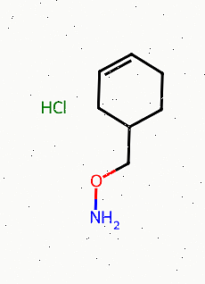 Cl.NOCC1CC=CCC1